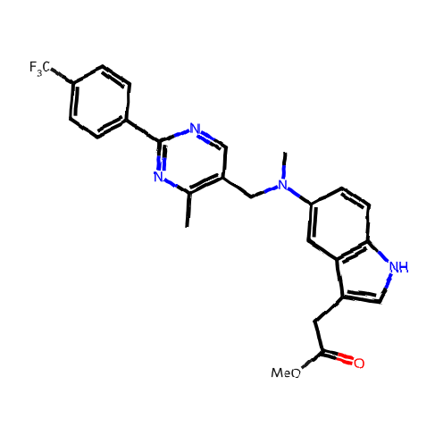 COC(=O)Cc1c[nH]c2ccc(N(C)Cc3cnc(-c4ccc(C(F)(F)F)cc4)nc3C)cc12